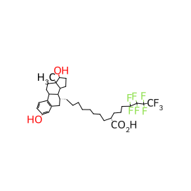 C[C@]12CCC3c4ccc(O)cc4C[C@@H](CCCCCCCC[C@H](CCCC(F)(F)C(F)(F)C(F)(F)C(F)(F)F)C(=O)O)C3C1CC[C@@H]2O